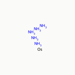 N.N.N.N.N.[Os]